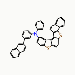 c1ccc(N(c2cccc(-c3ccc4ccccc4c3)c2)c2ccc3sc4ccc5sc6c7ccccc7ccc6c5c4c3c2)cc1